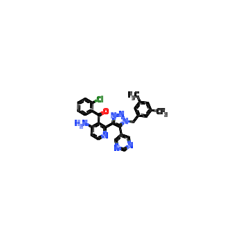 Nc1ccnc(-c2nnn(Cc3cc(C(F)(F)F)cc(C(F)(F)F)c3)c2-c2cncnc2)c1C(=O)c1ccccc1Cl